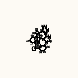 CC1(c2cnnn2-c2ncn3c2c(=O)n(C2(C)CCCO2)c2c(Cl)cccc23)CC1